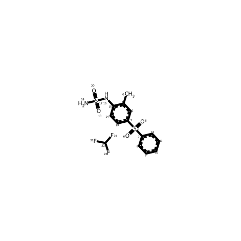 Cc1cc(S(=O)(=O)c2ccccc2)ccc1NS(N)(=O)=O.FC(F)F